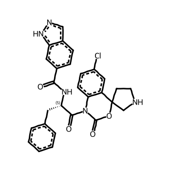 O=C(N[C@@H](Cc1ccccc1)C(=O)N1C(=O)OC2(CCNC2)c2cc(Cl)ccc21)c1ccc2cn[nH]c2c1